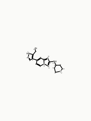 CC(C)Cc1[nH]ncc1-c1ccn2nc(NC3CCOCC3)nc2c1